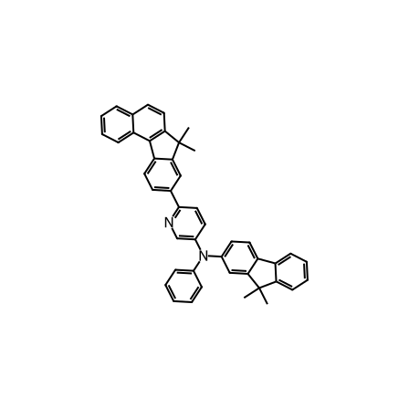 CC1(C)c2ccccc2-c2ccc(N(c3ccccc3)c3ccc(-c4ccc5c(c4)C(C)(C)c4ccc6ccccc6c4-5)nc3)cc21